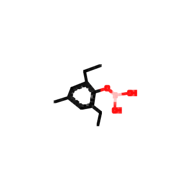 CCc1cc(C)cc(CC)c1OB(O)O